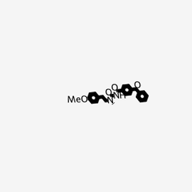 COc1ccc(CCN(C)C(=O)NC(=O)c2ccc(C(=O)c3ccccc3)cc2)cc1